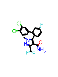 Cn1nc(C(F)F)c(C(N)=O)c1-c1ccc(F)cc1-c1ccc(Cl)c(Cl)c1